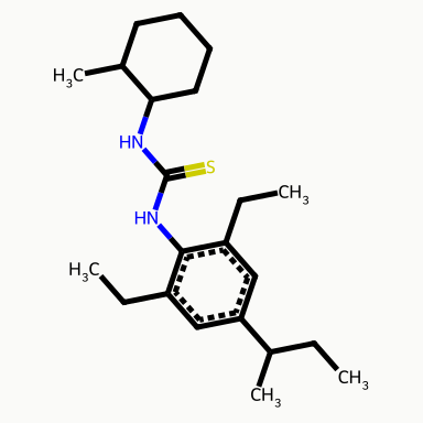 CCc1cc(C(C)CC)cc(CC)c1NC(=S)NC1CCCCC1C